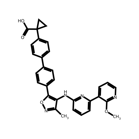 COc1ncccc1-c1cccc(Nc2c(C)noc2-c2ccc(-c3ccc(C4(C(=O)O)CC4)cc3)cc2)n1